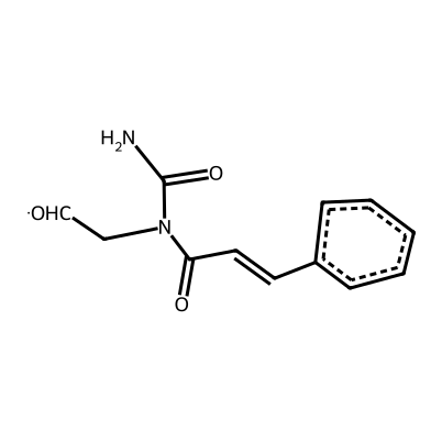 NC(=O)N(C[C]=O)C(=O)C=Cc1ccccc1